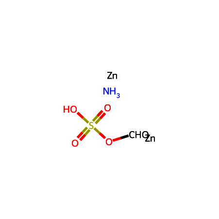 N.O=COS(=O)(=O)O.[Zn].[Zn]